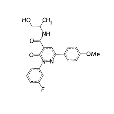 COc1ccc(-c2cc(C(=O)NC(C)CO)c(=O)n(-c3cccc(F)c3)n2)cc1